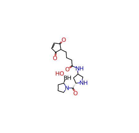 O=C(CCCC1C(=O)C=CC1=O)NC1CN[C@H](C(=O)N2CCC[C@H]2BO)C1